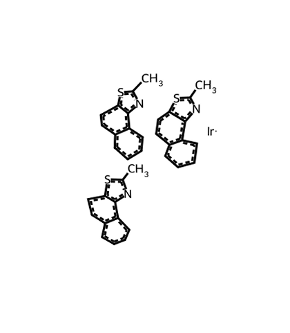 Cc1nc2c(ccc3ccccc32)s1.Cc1nc2c(ccc3ccccc32)s1.Cc1nc2c(ccc3ccccc32)s1.[Ir]